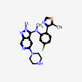 CCn1nc2cnc(N3CCNCC3)cc2c1N(C)c1cc(F)ccc1-c1ncsc1C#N